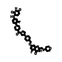 O=C1CCC(Nc2ccc(N3CCC(C(=O)N4CCC(N5CCC(COc6cc(F)c7c(=O)[nH]c(CSC8CCOCC8)nc7c6)CC5)C4)CC3)c(F)c2)C(=O)N1